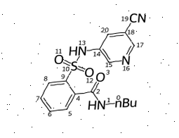 CCCCNC(=O)c1ccccc1S(=O)(=O)Nc1cncc(C#N)c1